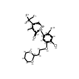 Cc1c(C(F)(F)F)cnn(-c2cc(OCCC3OCCCO3)c(Cl)cc2F)c1=O